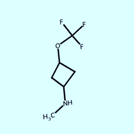 CNC1CC(OC(F)(F)F)C1